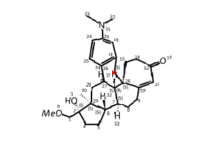 COC[C@]1(O)CC[C@H]2[C@@H]3CCC4=CC(=O)CC[C@@]45Cc4cc(N(C)C)ccc4[C@@H](C[C@@]21C)[C@@H]35